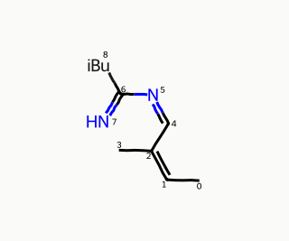 C/C=C(C)\C=N/C(=N)C(C)CC